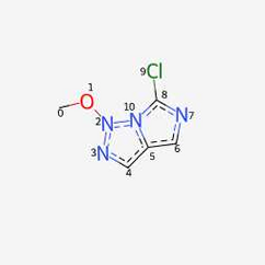 COn1ncc2cnc(Cl)n21